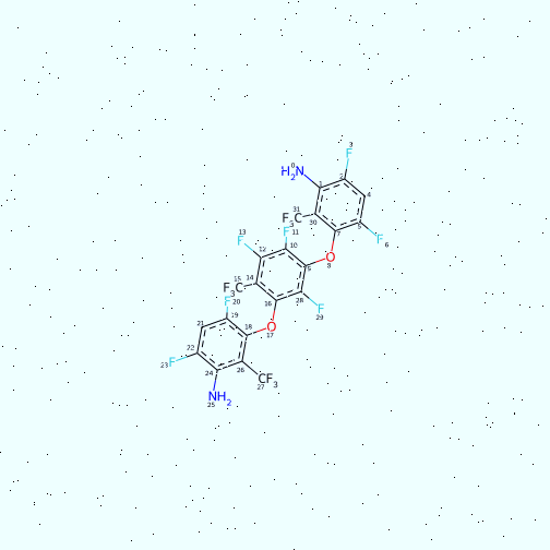 Nc1c(F)cc(F)c(Oc2c(F)c(F)c(C(F)(F)F)c(Oc3c(F)cc(F)c(N)c3C(F)(F)F)c2F)c1C(F)(F)F